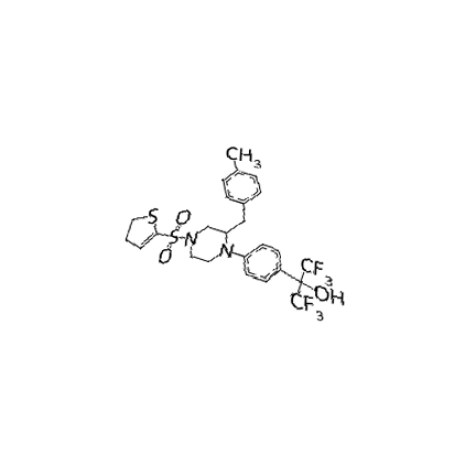 Cc1ccc(CC2CN(S(=O)(=O)C3=CCCS3)CCN2c2ccc(C(O)(C(F)(F)F)C(F)(F)F)cc2)cc1